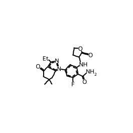 CCc1nn(-c2cc(F)c(C(N)=O)c(NC3CCOC3=O)c2)c2c1C(=O)CC(C)(C)C2